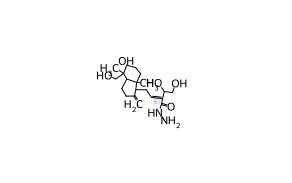 C=C1CCC2C(C)(CO)C(O)CCC2(C)C1C/C=C(/C(=O)NN)C(O)CO